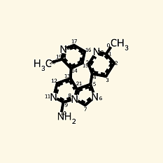 Cc1ccc(-c2ncn3c(N)ncc(-c4cccnc4C)c23)cn1